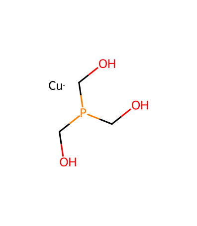 OCP(CO)CO.[Cu]